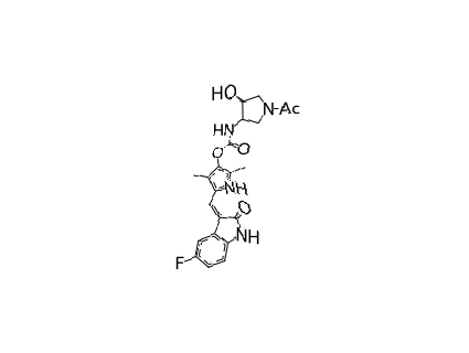 CC(=O)N1CC(O)C(NC(=O)Oc2c(C)[nH]c(/C=C3\C(=O)Nc4ccc(F)cc43)c2C)C1